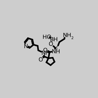 NCCC[C@H](NC(=O)C1(C(=O)NCCc2cccnc2)CCCC1)OBO